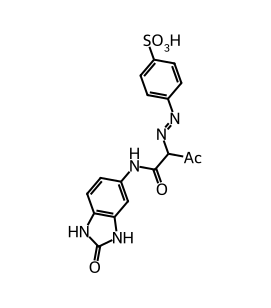 CC(=O)C(N=Nc1ccc(S(=O)(=O)O)cc1)C(=O)Nc1ccc2[nH]c(=O)[nH]c2c1